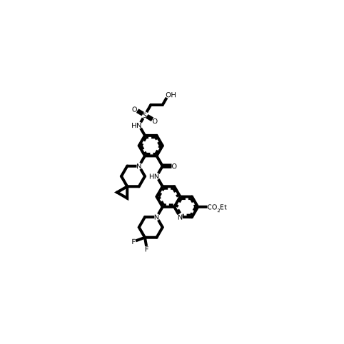 CCOC(=O)c1cnc2c(N3CCC(F)(F)CC3)cc(NC(=O)c3ccc(NS(=O)(=O)CCO)cc3N3CCC4(CC3)CC4)cc2c1